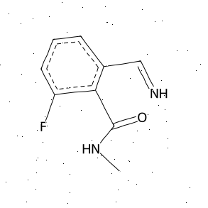 CNC(=O)c1c(F)cccc1C=N